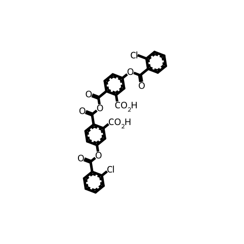 O=C(Oc1ccc(C(=O)OC(=O)c2ccc(OC(=O)c3ccccc3Cl)cc2C(=O)O)c(C(=O)O)c1)c1ccccc1Cl